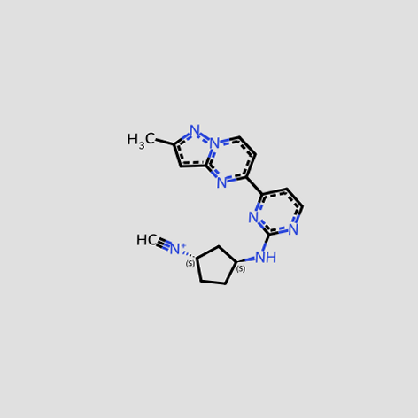 C#[N+][C@H]1CC[C@H](Nc2nccc(-c3ccn4nc(C)cc4n3)n2)C1